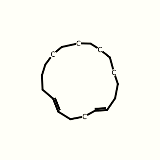 C1=C/CCCCCCCCCCCC/C=C/CC/1